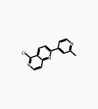 Cc1cc(-c2ccc3c(Cl)nccc3n2)ccn1